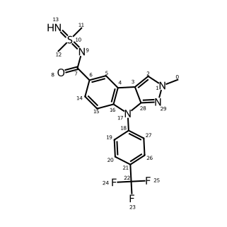 Cn1cc2c3cc(C(=O)N=S(C)(C)=N)ccc3n(-c3ccc(C(F)(F)F)cc3)c2n1